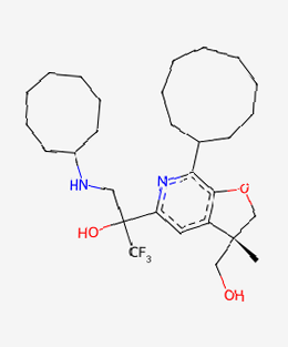 C[C@]1(CO)COc2c1cc(C(O)(CNC1CCCCCCC1)C(F)(F)F)nc2C1CCCCCCCC1